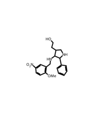 COc1ccc([N+](=O)[O-])cc1CNC1C(CCO)CNC1c1ccccc1